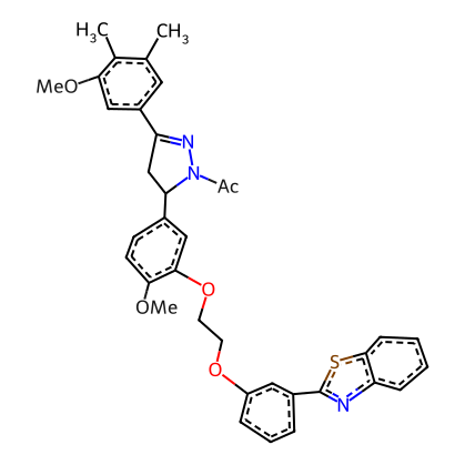 COc1ccc(C2CC(c3cc(C)c(C)c(OC)c3)=NN2C(C)=O)cc1OCCOc1cccc(-c2nc3ccccc3s2)c1